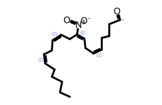 CCCCC/C=C\C/C=C\C/C(=C\C/C=C\CCC[C]=O)[N+](=O)[O-]